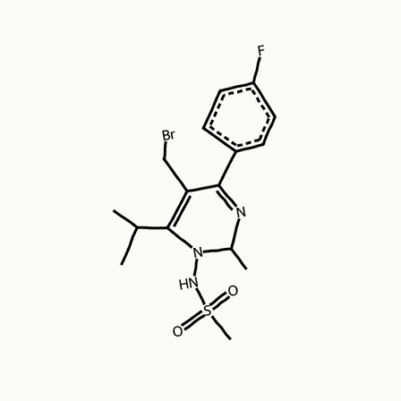 CC(C)C1=C(CBr)C(c2ccc(F)cc2)=NC(C)N1NS(C)(=O)=O